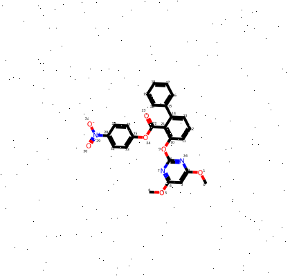 COc1cc(OC)nc(Oc2cccc(-c3ccccc3)c2C(=O)Oc2ccc([N+](=O)[O-])cc2)n1